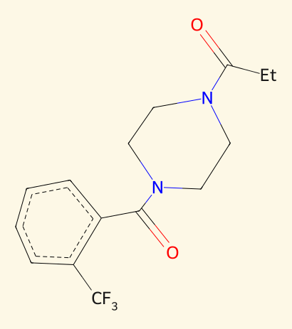 CCC(=O)N1CCN(C(=O)c2ccccc2C(F)(F)F)CC1